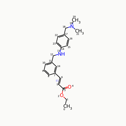 CCOC(=O)/C=C/c1cccc(CNc2ccc(CN(C)C)cc2)c1